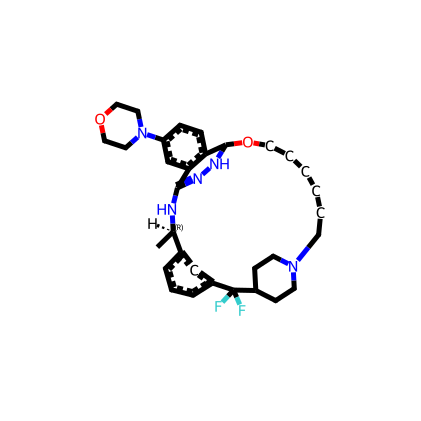 C[C@H]1NC2=NNC(OCCCCCCN3CCC(CC3)C(F)(F)c3cccc1c3)c1ccc(N3CCOCC3)cc12